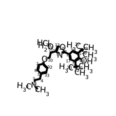 CN(C)CCc1ccc(OCCc2coc(-c3cc(C(C)(C)C)c(O)c(C(C)(C)C)c3)n2)cc1.Cl.O